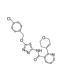 O=C(Nc1nnc(OCc2ccc(Cl)cc2)s1)c1cccnc1C1=CCOCC1